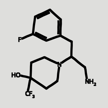 NCC(Cc1cccc(F)c1)N1CCC(O)(C(F)(F)F)CC1